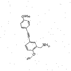 COc1ccc(C#Cc2ccc(OC(C)C)c(CN)c2)cc1